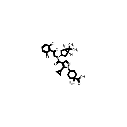 CC1(C(=O)O)CCC(n2ncc(C(=O)N(CC(=O)c3c(Cl)cccc3Cl)[C@H]3C[C@@H]4[C@H](C3)C4(C)C)c2C2CC2)CC1